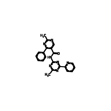 Cc1nc(NC(=O)c2cnc(C)nc2-c2ccccc2)nc(-c2ccccn2)n1